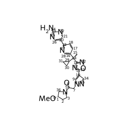 CO[C@H]1CCN(C(=O)Cn2cc(-c3nc([C@@](C)(c4ccc(-c5cnc(N)nc5)nc4)C4CC4)no3)cn2)C1